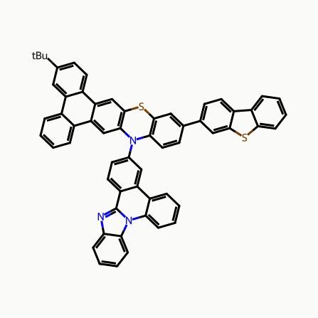 CC(C)(C)c1ccc2c(c1)c1ccccc1c1cc3c(cc21)Sc1cc(-c2ccc4c(c2)sc2ccccc24)ccc1N3c1ccc2c(c1)c1ccccc1n1c3ccccc3nc21